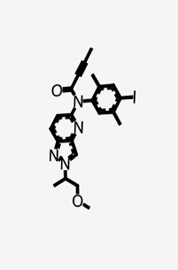 CC#CC(=O)N(c1ccc2nn(C(C)COC)cc2n1)c1cc(C)c(I)cc1C